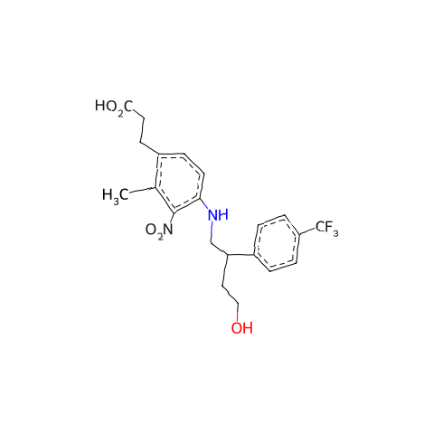 Cc1c(CCC(=O)O)ccc(NCC(CCO)c2ccc(C(F)(F)F)cc2)c1[N+](=O)[O-]